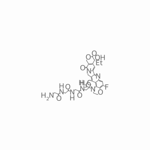 CC[C@@]1(O)C(=O)OCc2c1cc1n(c2=O)Cc2c-1nc1cc(F)c3c(c1c2C)N(C(=O)CNC(=O)CNC(=O)CNC(=O)CN)CCO3